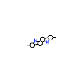 CC1=CC2C(C=C1)c1ccc3c(ccc4c5ccc(C)cc5n(C)c34)c1N2C